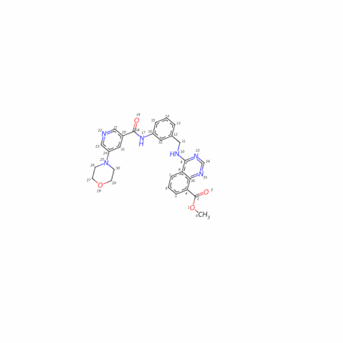 COC(=O)c1cccc2c(NCc3cccc(NC(=O)c4cncc(N5CCOCC5)c4)c3)ncnc12